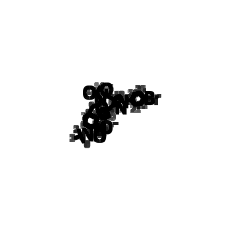 CC(C)(C)Nc1ccc(CCN2C(=O)COC2c2cn(-c3ccc(Br)cc3)nc2-c2ccco2)cc1[N+](=O)[O-]